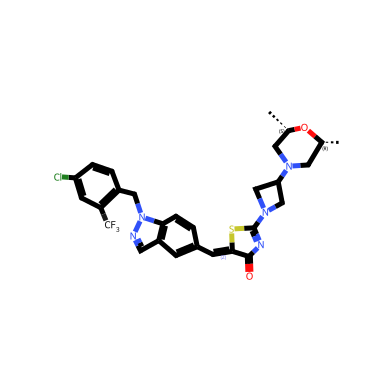 C[C@@H]1CN(C2CN(C3=NC(=O)/C(=C/c4ccc5c(cnn5Cc5ccc(Cl)cc5C(F)(F)F)c4)S3)C2)C[C@H](C)O1